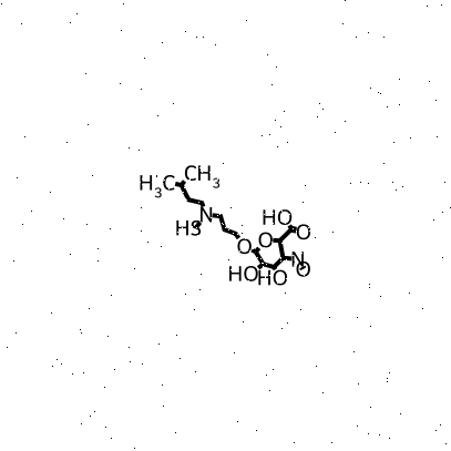 CC(C)CCN(S)CCCOC1OC(C(=O)O)C(N=O)C(O)C1O